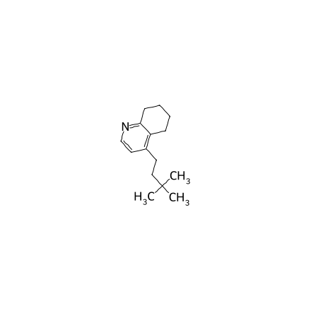 CC(C)(C)CCc1ccnc2c1CCCC2